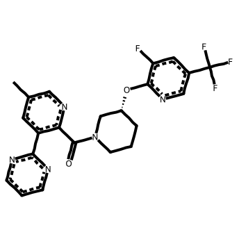 Cc1cnc(C(=O)N2CCC[C@@H](Oc3ncc(C(F)(F)F)cc3F)C2)c(-c2ncccn2)c1